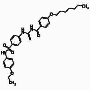 CCCCCCCOc1ccc(C(=O)NC(=S)Nc2ccc(S(=O)(=O)Nc3ccc(OCC)cc3)cc2)cc1